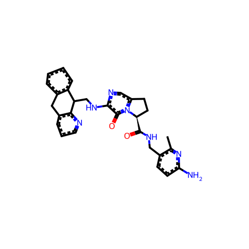 Cc1nc(N)ccc1CNC(=O)[C@@H]1CCc2cnc(NCC3c4ccccc4Cc4cccnc43)c(=O)n21